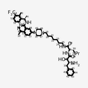 Cc1c([C@@H](C)Nc2nnc(C)c3ccc(N4CCN(CCCCCCCNC(=O)[C@H](CC(C)C)NC(=O)[C@@H](O)[C@H](N)Cc5ccccc5)CC4)cc23)cccc1C(F)(F)F